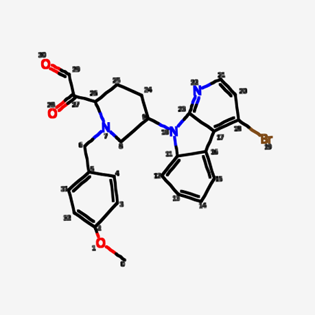 COc1ccc(CN2CC(n3c4ccccc4c4c(Br)ccnc43)CCC2C(=O)C=O)cc1